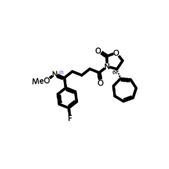 CO/N=C(/CCCC(=O)N1C(=O)OC[C@@H]1C1=CCC=CCC1)c1ccc(F)cc1